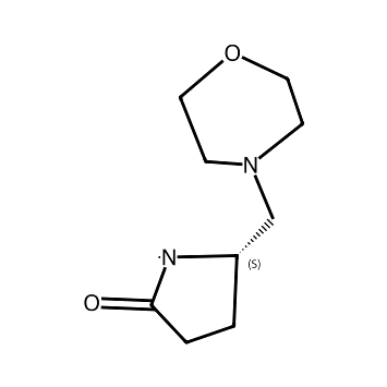 O=C1CC[C@@H](CN2CCOCC2)[N]1